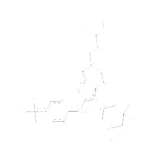 COC(=O)CCc1ccc2c(c1)nc(Nc1ccc(C(F)(F)F)cc1)n2[C@H]1C[C@@H](C)CC(C)(C)C1